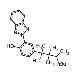 CCCCC(C)C(C)(C)C(C)(C)c1ccc(O)c(-n2nc3ccccc3n2)c1